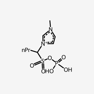 CCCC([n+]1ccn(C)c1)S(=O)(=O)OP(=O)(O)O